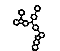 c1ccc(-c2ccc(N(c3ccc(-c4cccc5c4sc4cc6cnccc6cc45)cc3)c3ccc4c5ccccc5n(-c5ccccc5)c4c3)cc2)cc1